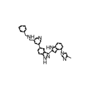 Cc1cn(-c2cccc3[nH]c(-c4n[nH]c5ccc(-c6cncc(CNCc7ccccc7)c6)cc45)cc23)cn1